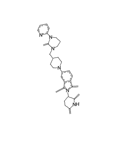 C=C1CCC(n2c(=C)c3ccc(N4CCC(CN5CCCN(c6ccccn6)C5=C)CC4)cc3c2=C)C(=C)N1